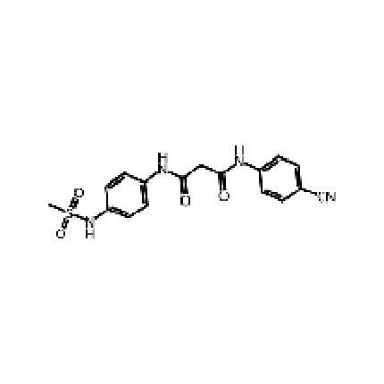 CS(=O)(=O)Nc1ccc(NC(=O)CC(=O)Nc2ccc(C#N)cc2)cc1